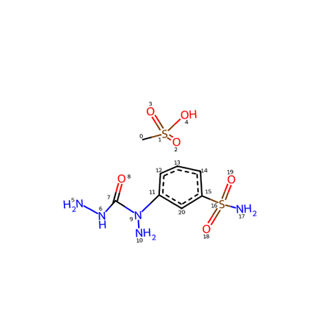 CS(=O)(=O)O.NNC(=O)N(N)c1cccc(S(N)(=O)=O)c1